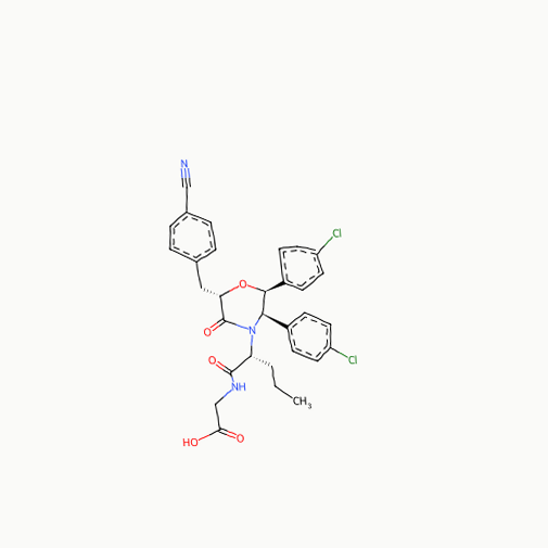 CCC[C@H](C(=O)NCC(=O)O)N1C(=O)[C@H](Cc2ccc(C#N)cc2)O[C@@H](c2ccc(Cl)cc2)[C@H]1c1ccc(Cl)cc1